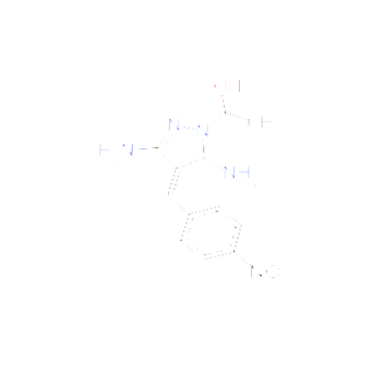 CC(O)N1N=C(N)C(=Cc2ccc([N+](=O)[O-])cc2)C1N